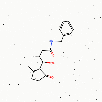 CC1CCC(=O)[C@@H]1[C@H](O)[C@H](C)CC(=O)NCc1ccccc1